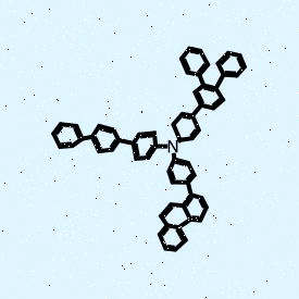 C1=CC(N(c2ccc(-c3ccc(-c4ccccc4)cc3)cc2)c2ccc(-c3cccc4c3ccc3ccccc34)cc2)CC=C1c1ccc(-c2ccccc2)c(-c2ccccc2)c1